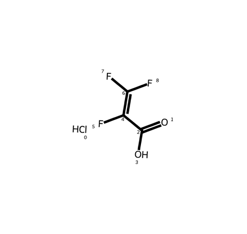 Cl.O=C(O)C(F)=C(F)F